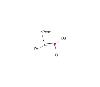 CCCCC/C(C(C)C)=[P+](/[O-])C(C)CC